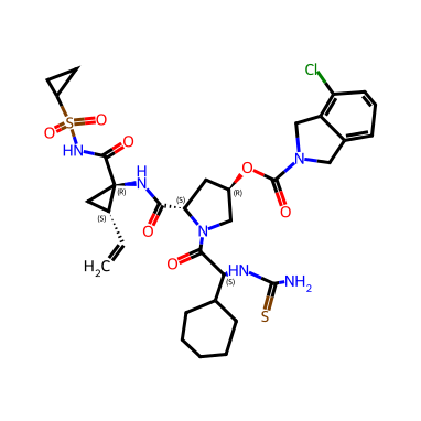 C=C[C@@H]1C[C@]1(NC(=O)[C@@H]1C[C@@H](OC(=O)N2Cc3cccc(Cl)c3C2)CN1C(=O)[C@@H](NC(N)=S)C1CCCCC1)C(=O)NS(=O)(=O)C1CC1